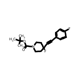 CC(C)(C)OC(=O)N1CCC(F)(C#Cc2ccc(F)cc2)CC1